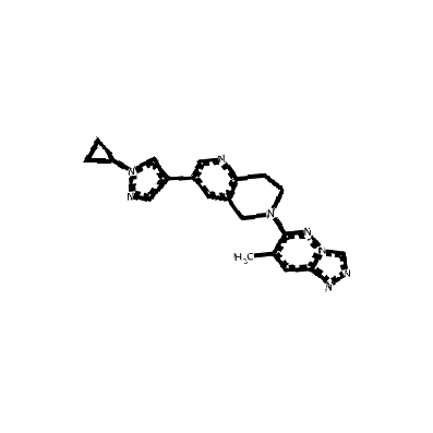 Cc1cc2nncn2nc1N1CCc2ncc(-c3cnn(C4CC4)c3)cc2C1